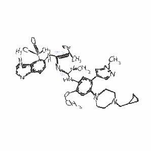 C=N/C(=N\C(Nc1ccc2nccnc2c1P(C)(C)=O)=C(/C)Br)Nc1cc(-c2cnn(C)c2)c(N2CCN(CC3CC3)CC2)cc1OC